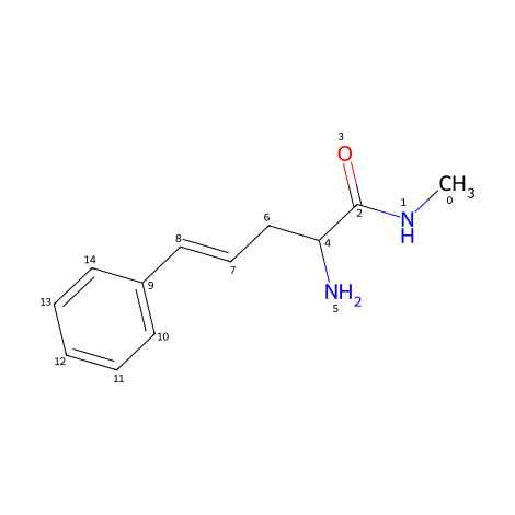 CNC(=O)C(N)C/C=C/c1ccccc1